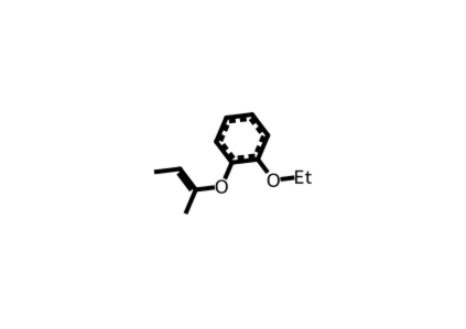 CC=C(C)Oc1ccccc1OCC